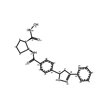 O=C(N[C@H]1CCC[C@H]1C(=O)NO)c1ccc(C2CC(c3ccccn3)=NO2)cc1